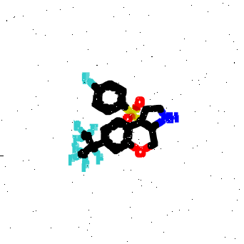 O=S(=O)(c1ccc(F)cc1)C12CCNC1COc1cc(C(F)(C(F)(F)F)C(F)(F)F)ccc12